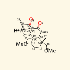 C=C1C(=O)[C@@]23CC[C@@H](CC2[C@]2(COC)CCC[C@@](C)(COC)C12)C(=C)C3=O